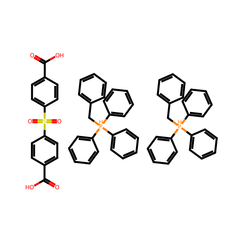 O=C(O)c1ccc(S(=O)(=O)c2ccc(C(=O)O)cc2)cc1.c1ccc(C[PH](c2ccccc2)(c2ccccc2)c2ccccc2)cc1.c1ccc(C[PH](c2ccccc2)(c2ccccc2)c2ccccc2)cc1